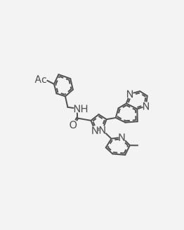 CC(=O)c1cccc(CNC(=O)c2cc(-c3ccc4nccnc4c3)n(-c3cccc(C)n3)n2)c1